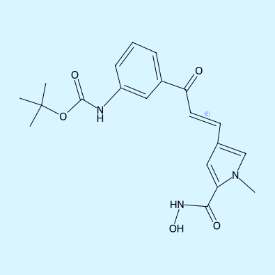 Cn1cc(/C=C/C(=O)c2cccc(NC(=O)OC(C)(C)C)c2)cc1C(=O)NO